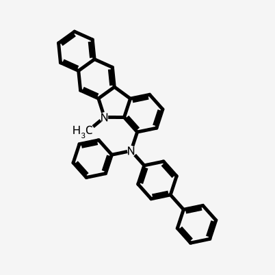 Cn1c2cc3ccccc3cc2c2cccc(N(c3ccccc3)c3ccc(-c4ccccc4)cc3)c21